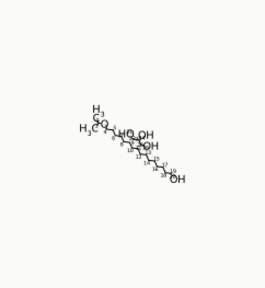 CC(C)OCCCCCCCCCCCCCCCCO.OCC(O)CO